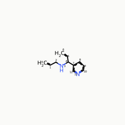 C=CCNC(C=C)c1cccnc1